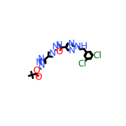 CC(C)(C)C(=O)OCn1cc(C2CN(c3nnc(-c4cnc(NCCc5cc(Cl)cc(Cl)c5)nc4)o3)C2)nn1